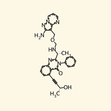 C[C@@H](O)C#Cc1cccc2nc([C@@H](C)NCOCc3c(N)nn4cccnc34)n(-c3ccccc3)c(=O)c12